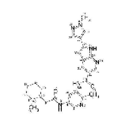 Cc1ncc(NC(=O)CN2CCCC[C@H]2C)cc1NC(=O)c1cnc2[nH]c(-c3cnn(C)c3)cc2c1